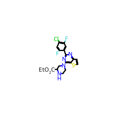 CCOC(=O)C1CN(c2nc(-c3cc(F)c(Cl)cc3F)nc3ccsc23)CCN1